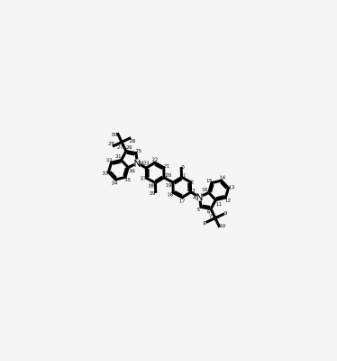 Cc1cc(-n2cc(C(C)(C)C)c3ccccc32)ccc1-c1ccc(-n2cc(C(C)(C)C)c3ccccc32)cc1C